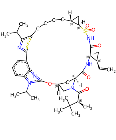 C=C[C@@H]1C[C@@]12NC(=O)[C@@H]1C[C@H](CN1C(=O)[C@@H](C)C(C)(C)C)Oc1nc3c(cccc3n1C(C)C)-c1nc(C(C)C)c(s1)CCCC[C@@H]1C[C@H]1S(=O)(=O)NC2=O